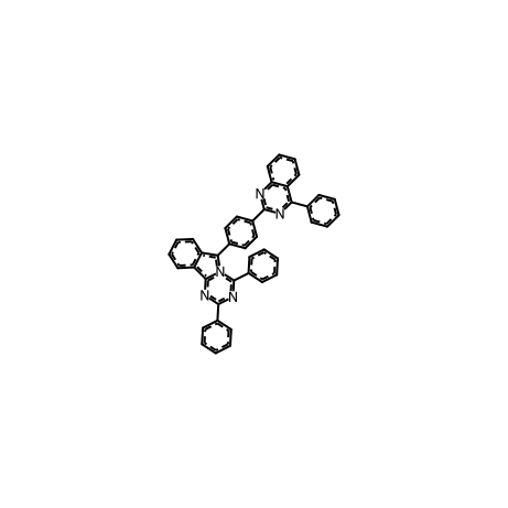 c1ccc(-c2nc(-c3ccccc3)n3c(-c4ccc(-c5nc(-c6ccccc6)c6ccccc6n5)cc4)c4ccccc4c3n2)cc1